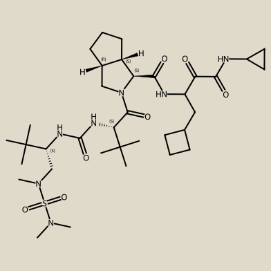 CN(C)S(=O)(=O)N(C)C[C@@H](NC(=O)N[C@H](C(=O)N1C[C@@H]2CCC[C@@H]2[C@H]1C(=O)NC(CC1CCC1)C(=O)C(=O)NC1CC1)C(C)(C)C)C(C)(C)C